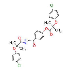 CC(C)(Oc1ccc(Cl)cc1)C(=O)NCC(=O)c1ccc(OC(=O)C(C)(C)Oc2ccc(Cl)cc2)cc1